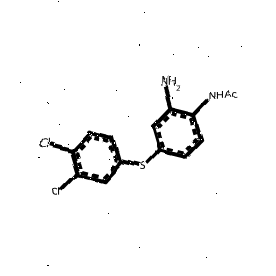 CC(=O)Nc1ccc(Sc2ccc(Cl)c(Cl)c2)cc1N